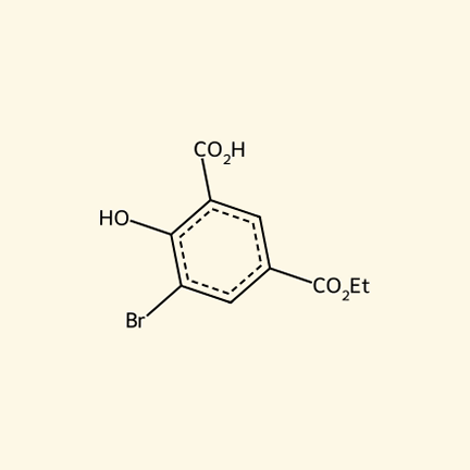 CCOC(=O)c1cc(Br)c(O)c(C(=O)O)c1